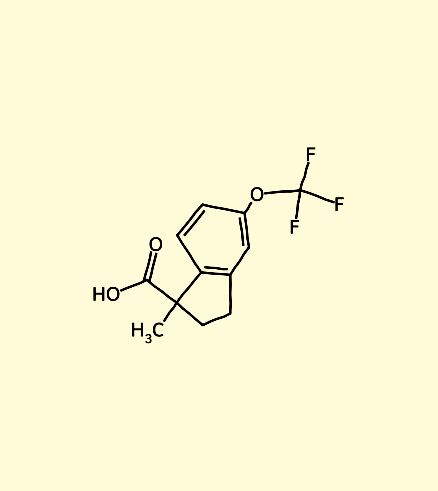 CC1(C(=O)O)CCc2cc(OC(F)(F)F)ccc21